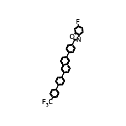 Fc1ccc2nc(-c3ccc(-c4ccc5cc(-c6ccc(-c7ccc(C(F)(F)F)cc7)cc6)ccc5c4)cc3)oc2c1